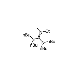 CCCCN(CCCC)C(N(CCCC)CCCC)=[N+](C)CC